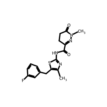 Cc1nc(NC(=O)C2=NN(C)C(=O)CC2)sc1Cc1cccc(F)c1